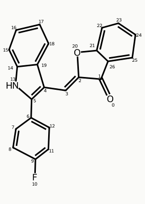 O=C1/C(=C/c2c(-c3ccc(F)cc3)[nH]c3ccccc23)Oc2ccccc21